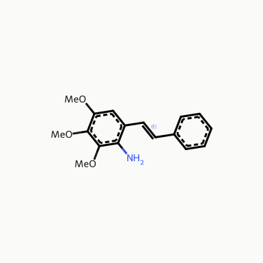 COc1cc(/C=C/c2ccccc2)c(N)c(OC)c1OC